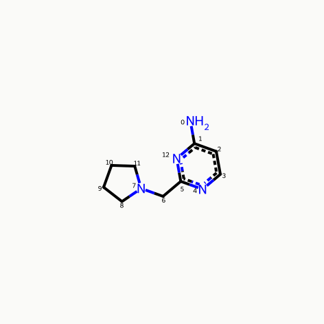 Nc1ccnc(CN2CCCC2)n1